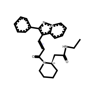 CCNC(=O)C[C@H]1CCCCN1C(=O)/C=C/c1c(-c2ccccc2)nn2ccccc12